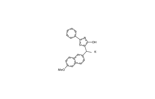 COc1ccc2cc(C(C)c3sc(-c4ccccc4)nc3O)ccc2c1.[K]